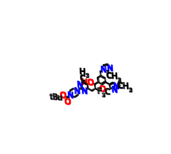 Cc1cc(C[C@@H]2COc3c(-c4cn(C)nc4C(F)(F)F)cc(Cn4ccnc4C)cc3[C@@H]2O)nc(N2CCN(C(=O)OC(C)(C)C)CC2)n1